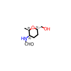 C[C@H]1O[C@H](CO)CC[C@H]1NC=O